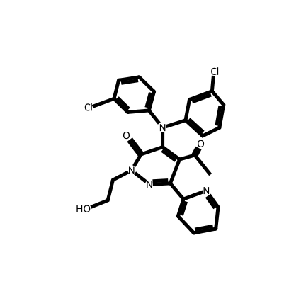 CC(=O)c1c(-c2ccccn2)nn(CCO)c(=O)c1N(c1cccc(Cl)c1)c1cccc(Cl)c1